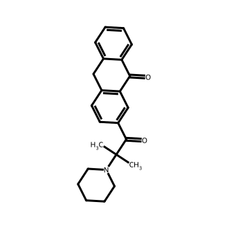 CC(C)(C(=O)c1ccc2c(c1)C(=O)c1ccccc1C2)N1CCCCC1